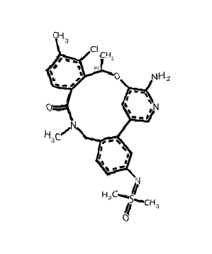 Cc1ccc2c(c1Cl)[C@@H](C)Oc1cc(cnc1N)-c1cc(N=S(C)(C)=O)ccc1CN(C)C2=O